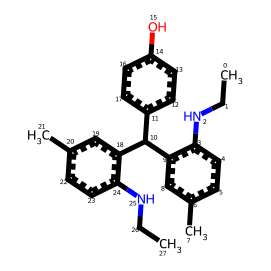 CCNc1ccc(C)cc1C(c1ccc(O)cc1)c1cc(C)ccc1NCC